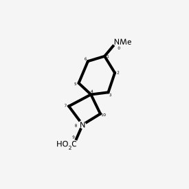 CNC1CCC2(CC1)CN(C(=O)O)C2